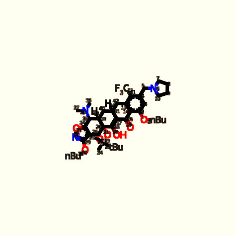 CCCCOc1cc(CN2CCCC2)c(C(F)(F)F)c2c1C(=O)C1=C(O)[C@]3(O[Si](C)(C)C(C)(C)C)C(=O)c4c(OCCCC)noc4[C@@H](N(C)C)[C@@H]3C[C@@H]1C2